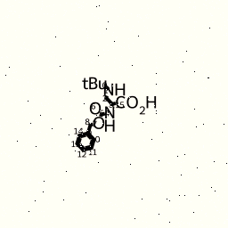 CC(C)(C)NCC(NC(=O)OCc1ccccc1)C(=O)O